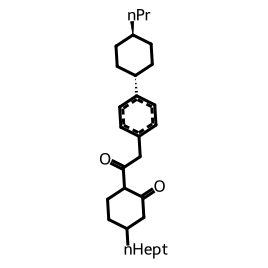 CCCCCCCC1CCC(C(=O)Cc2ccc([C@H]3CC[C@H](CCC)CC3)cc2)C(=O)C1